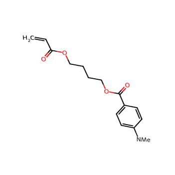 C=CC(=O)OCCCCOC(=O)c1ccc(NC)cc1